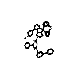 N#Cc1ccc(-c2cccc3c2-c2cc(-c4nc(-c5ccccc5)nc(-c5cccc(-c6ccccc6)c5)n4)ccc2C32c3ccccc3Sc3ccccc32)cc1